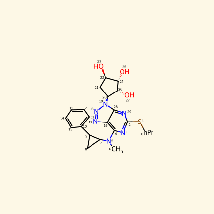 CCCSc1nc(N(C)C2CC2c2ccccc2)c2nnn([C@H]3C[C@@H](O)[C@H](O)[C@@H]3O)c2n1